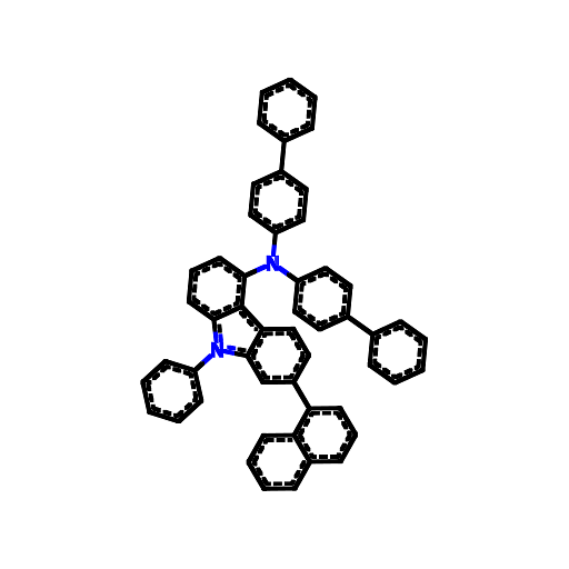 c1ccc(-c2ccc(N(c3ccc(-c4ccccc4)cc3)c3cccc4c3c3ccc(-c5cccc6ccccc56)cc3n4-c3ccccc3)cc2)cc1